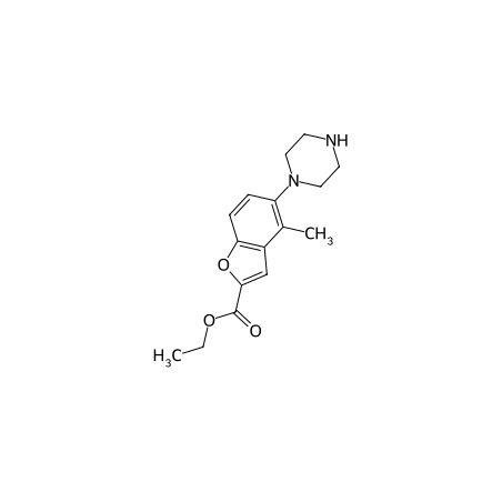 CCOC(=O)c1cc2c(C)c(N3CCNCC3)ccc2o1